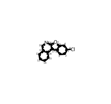 Clc1ccc2c(c1)oc1ncc3ccccc3c12